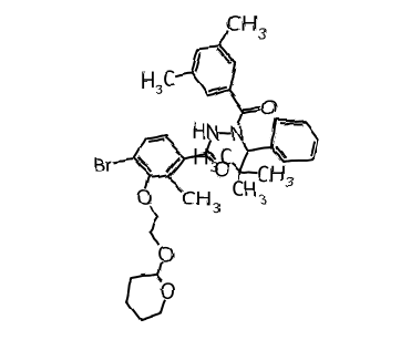 Cc1cc(C)cc(C(=O)N(NC(=O)c2ccc(Br)c(OCCOC3CCCCO3)c2C)C(c2ccccc2)C(C)(C)C)c1